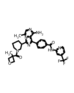 Cc1cnc(N)c2c(-c3ccc(C(=O)Nc4cc(C(F)(F)F)ccn4)cc3)nc(C3CCCN(C(=O)C4(C)COC4)C3)n12